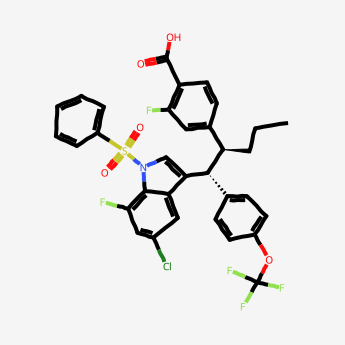 CCC[C@H](c1ccc(C(=O)O)c(F)c1)[C@H](c1ccc(OC(F)(F)F)cc1)c1cn(S(=O)(=O)c2ccccc2)c2c(F)cc(Cl)cc12